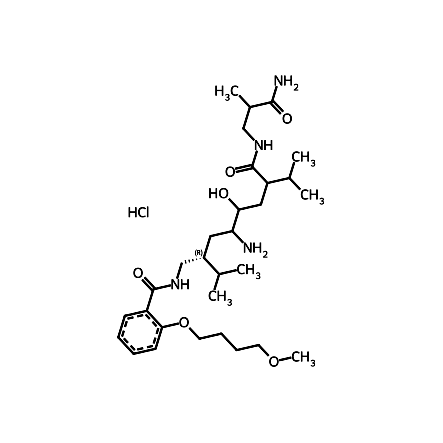 COCCCCOc1ccccc1C(=O)NC[C@H](CC(N)C(O)CC(C(=O)NCC(C)C(N)=O)C(C)C)C(C)C.Cl